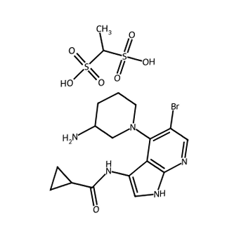 CC(S(=O)(=O)O)S(=O)(=O)O.NC1CCCN(c2c(Br)cnc3[nH]cc(NC(=O)C4CC4)c23)C1